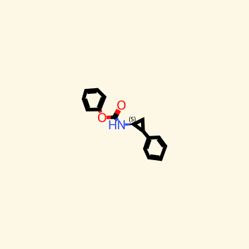 O=C(N[C@H]1CC1c1ccccc1)Oc1ccccc1